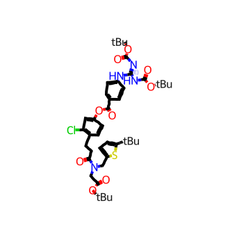 CC(C)(C)OC(=O)CN(Cc1ccc(C(C)(C)C)s1)C(=O)CCc1ccc(OC(=O)c2ccc(N/C(=N\C(=O)OC(C)(C)C)NC(=O)OC(C)(C)C)cc2)cc1Cl